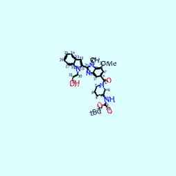 COc1cc(C(=O)N2CCCC(NC(=O)OC(C)(C)C)C2)cc2nc(-c3cc4ccccc4n3CCO)n(C)c12